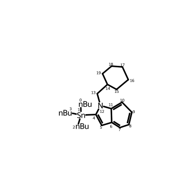 CCC[CH2][Sn]([CH2]CCC)([CH2]CCC)[c]1cc2ccccc2n1CC1CCCCC1